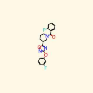 O=C(c1ccccc1F)N1CCC[C@H](c2nc(Oc3cccc(F)c3)no2)C1